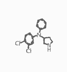 Clc1ccc(N(c2ccccc2)C2CCNC2)cc1Cl